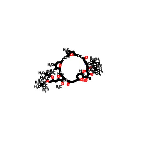 C=C1C(C)CC2CC[C@@H]3OC(CCC(=O)/C=C/C(O[Si](C)(C)C(C)(C)C)C4O[C@H]5CCC(CC(=O)CC6[C@@H](OC)C(CC(CO[Si](C)(C)C(C)(C)C)O[Si](C)(C)C(C)(C)C)O[C@H]6CC1O2)OC5[C@H](O)C4O[Si](C)(C)C(C)(C)C)CC3=C